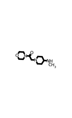 CNC1CCN(CC(=O)N2CCOCC2)CC1